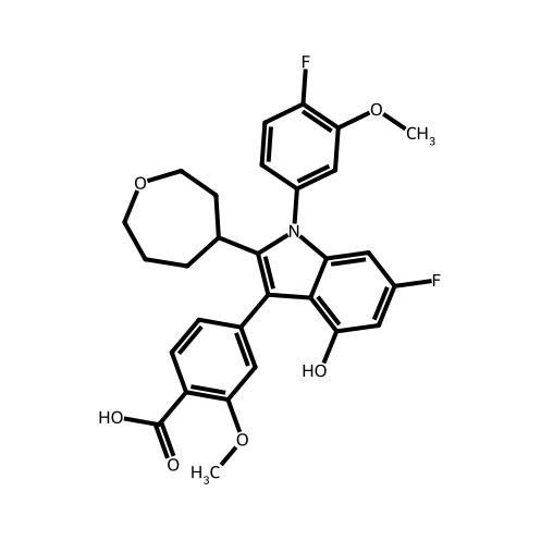 COc1cc(-n2c(C3CCCOCC3)c(-c3ccc(C(=O)O)c(OC)c3)c3c(O)cc(F)cc32)ccc1F